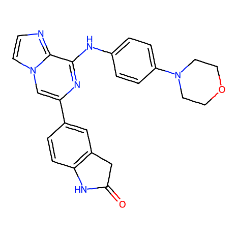 O=C1Cc2cc(-c3cn4ccnc4c(Nc4ccc(N5CCOCC5)cc4)n3)ccc2N1